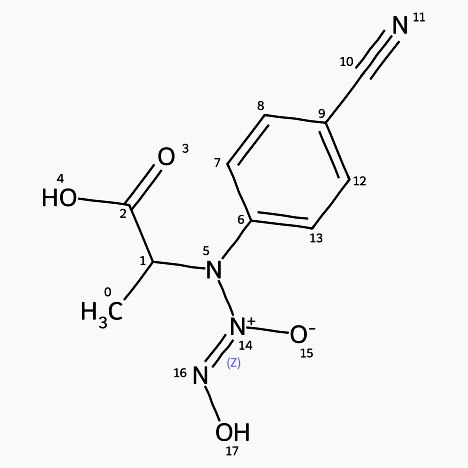 CC(C(=O)O)N(c1ccc(C#N)cc1)/[N+]([O-])=N/O